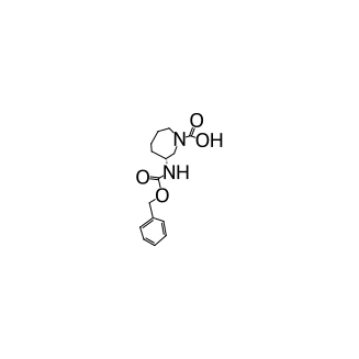 O=C(N[C@@H]1CCCCN(C(=O)O)C1)OCc1ccccc1